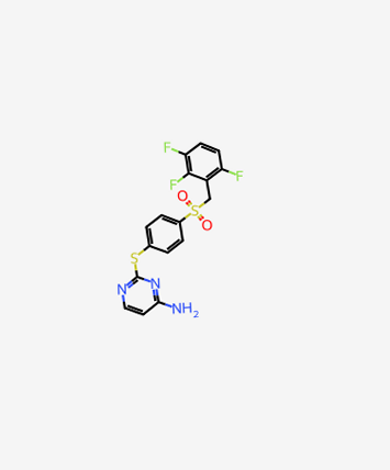 Nc1ccnc(Sc2ccc(S(=O)(=O)Cc3c(F)ccc(F)c3F)cc2)n1